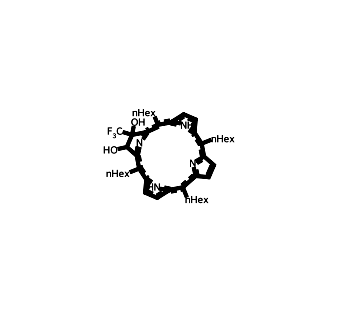 CCCCCCc1c2nc(c(CCCCCC)c3ccc([nH]3)c(CCCCCC)c3nc(c(CCCCCC)c4ccc1[nH]4)C(O)C3(O)C(F)(F)F)C=C2